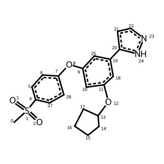 CS(=O)(=O)c1ccc(Oc2cc(OC3CCCC3)cc(-c3ccn[nH]3)c2)cc1